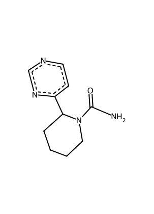 NC(=O)N1CCCCC1c1ccncn1